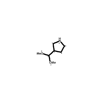 COC(OC)C1CCNC1